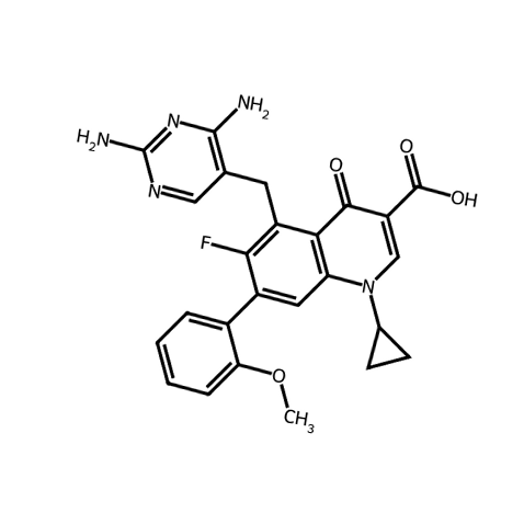 COc1ccccc1-c1cc2c(c(Cc3cnc(N)nc3N)c1F)c(=O)c(C(=O)O)cn2C1CC1